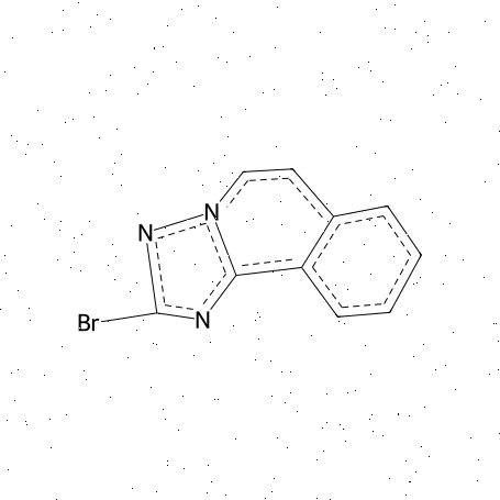 Brc1nc2c3ccccc3ccn2n1